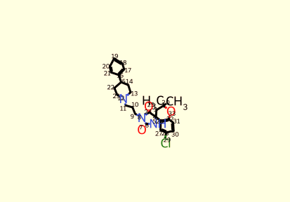 CC1(C)CC2(NC(=O)N(CCCN3CCC(c4ccccc4)CC3)C2=O)c2cc(Cl)ccc2O1